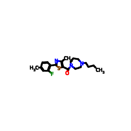 CCCCN1CCCN(C(=O)c2sc(-c3ccc(C)cc3F)nc2C)CC1